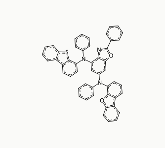 c1ccc(-c2nc3c(N(c4ccccc4)c4cccc5c4sc4ccccc45)cc(N(c4ccccc4)c4cccc5c4oc4ccccc45)cc3o2)cc1